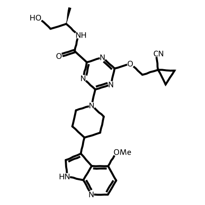 COc1ccnc2[nH]cc(C3CCN(c4nc(OCC5(C#N)CC5)nc(C(=O)N[C@H](C)CO)n4)CC3)c12